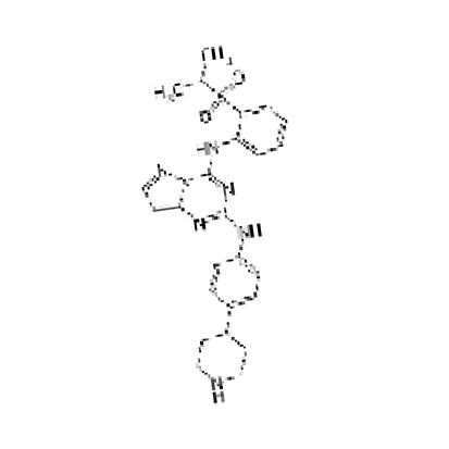 CC(C)S(=O)(=O)c1ccccc1Nc1nc(Nc2ccc(C3CCNCC3)cc2)nc2ccnn12